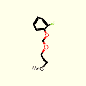 COCCOCOc1cc[c]cc1F